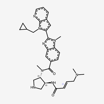 CN(C)C/C=C/C(=O)N[C@H]1CNC[C@@H]1N(C)C(=O)c1ccc2c(c1)nc(-c1cc3cccnc3n1CC1CC1)n2C